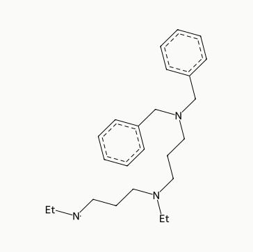 CC[N]CCCN(CC)CCCN(Cc1ccccc1)Cc1ccccc1